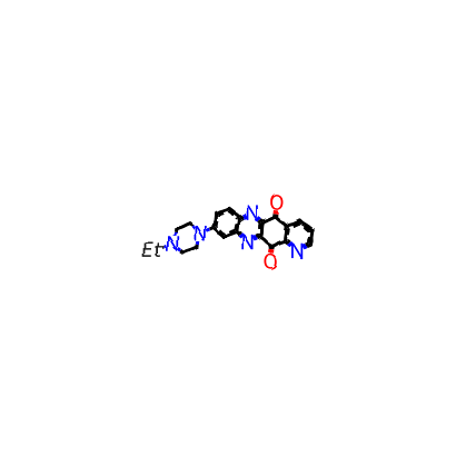 CCN1CCN(c2ccc3nc4c(nc3c2)C(=O)c2ncccc2C4=O)CC1